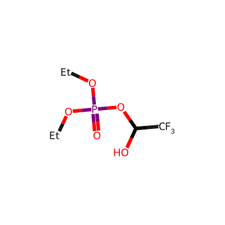 CCOP(=O)(OCC)OC(O)C(F)(F)F